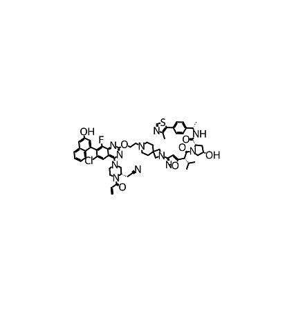 C=CC(=O)N1CCN(c2nc(OCCN3CCC4(CC3)CN(c3cc([C@H](C(=O)N5C[C@H](O)C[C@H]5C(=O)N[C@@H](C)c5ccc(-c6scnc6C)cc5)C(C)C)on3)C4)nc3c(F)c(-c4cc(O)cc5ccccc45)c(Cl)cc23)C[C@@H]1CC#N